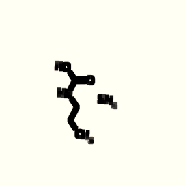 CCCNC(=O)O.[SiH4]